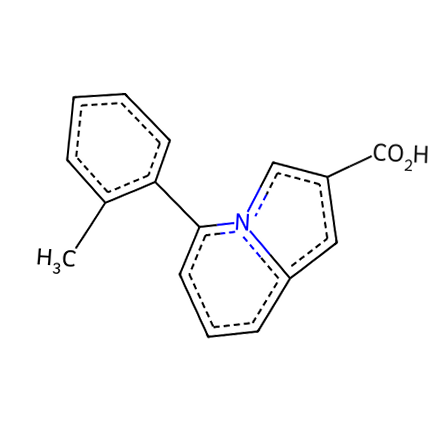 Cc1ccccc1-c1cccc2cc(C(=O)O)cn12